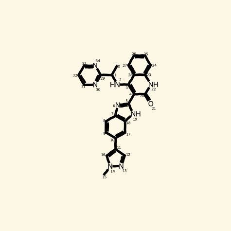 CC(Nc1c(-c2nc3ccc(-c4cnn(C)c4)cc3[nH]2)c(=O)[nH]c2ccccc12)c1ncccn1